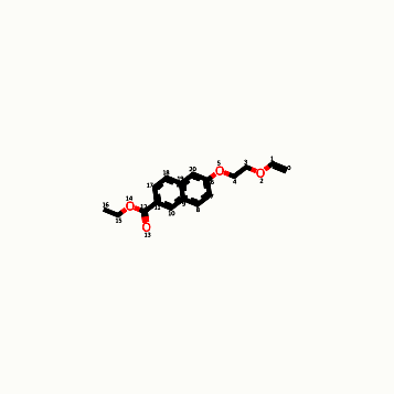 C=COCCOc1ccc2cc(C(=O)OCC)ccc2c1